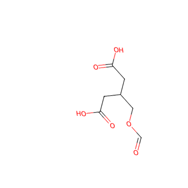 O=COCC(CC(=O)O)CC(=O)O